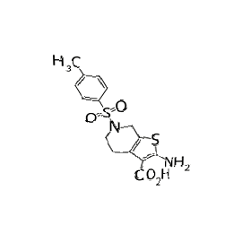 Cc1ccc(S(=O)(=O)N2CCc3c(sc(N)c3C(=O)O)C2)cc1